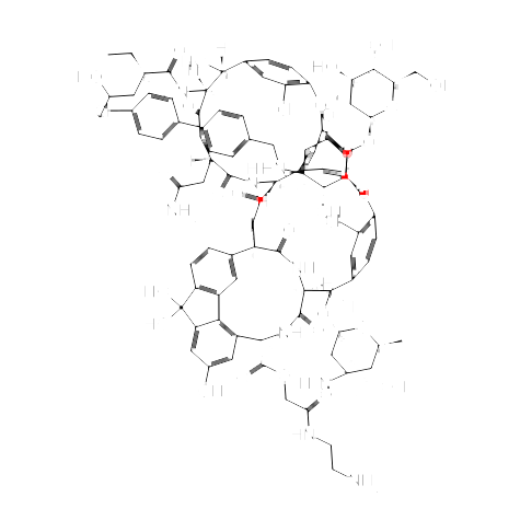 CC[C@H](CC(C)O)C(=O)N[C@H]1C(=O)C[C@@H](CC(N)=O)C(=O)N[C@H]2C(=O)C[C@H]3C(=O)N[C@H](C(=O)N[C@H](C(=O)OCC(=O)NCCN)c4cc(O)cc5c4-c4cc3ccc4C5(O)O)[C@H](O[C@H]3C[C@](C)(N)[C@@H](O)[C@H](C)O3)c3ccc(c(Cl)c3)Oc3cc2cc(c3O[C@@H]2O[C@H](CO)[C@@H](O)[C@H](O)[C@H]2O[C@H]2C[C@](C)(NCc3ccc(-c4ccc(Cl)cc4)cc3)[C@@H](O)[C@H](C)O2)Oc2ccc(cc2Cl)[C@H]1O